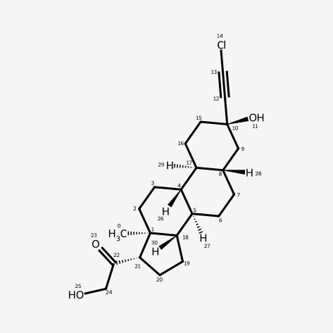 C[C@]12CC[C@H]3[C@@H](CC[C@H]4C[C@@](O)(C#CCl)CC[C@@H]43)[C@@H]1CC[C@@H]2C(=O)CO